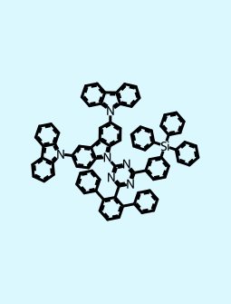 c1ccc(-c2cccc(-c3ccccc3)c2-c2nc(-c3cccc([Si](c4ccccc4)(c4ccccc4)c4ccccc4)c3)nc(-n3c4ccc(-n5c6ccccc6c6ccccc65)cc4c4cc(-n5c6ccccc6c6ccccc65)ccc43)n2)cc1